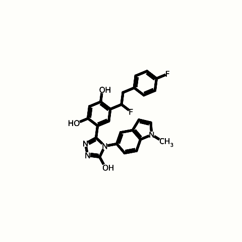 Cn1ccc2cc(-n3c(O)nnc3-c3cc(C(F)Cc4ccc(F)cc4)c(O)cc3O)ccc21